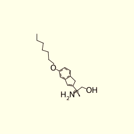 CCCCCCCOc1ccc2c(c1)C=C([C@@](C)(N)CO)C2